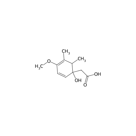 COC1=C(C)C(C)C(O)(CC(=O)O)C=C1